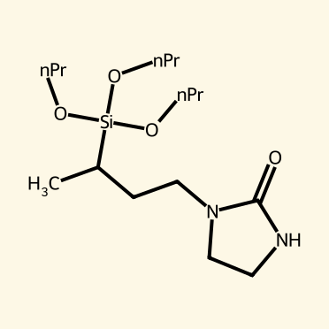 CCCO[Si](OCCC)(OCCC)C(C)CCN1CCNC1=O